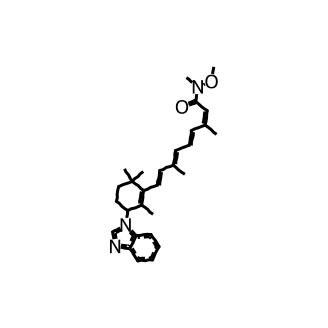 CON(C)C(=O)\C=C(C)/C=C/C=C(C)/C=C/C1=C(C)C(n2cnc3ccccc32)CCC1(C)C